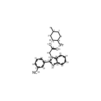 CC1CCC(C(C)C)[C@H](OC(=O)Cn2c(-c3cccc(C#N)c3)nc3ccccc32)C1